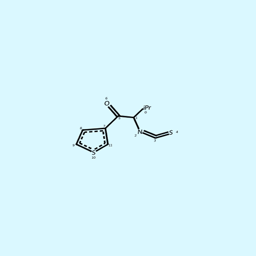 CC(C)C(N=C=S)C(=O)c1ccsc1